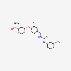 CNC(=O)c1cc(Oc2ccc(CNC(=O)Nc3cccc(C(F)(F)F)c3)cc2F)ccn1